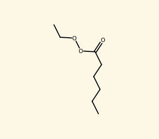 CCCCCC(=O)OOCC